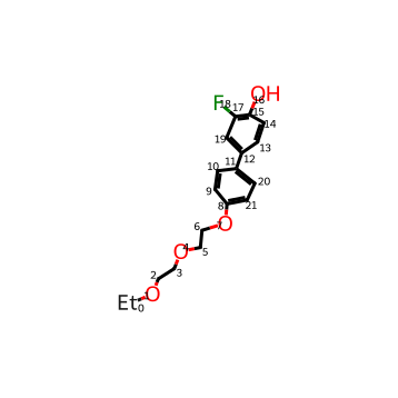 CCOCCOCCOc1ccc(-c2ccc(O)c(F)c2)cc1